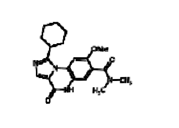 COc1cc2c(cc1C(=O)N(C)C)[nH]c(=O)c1cnc(C3CCCCC3)n12